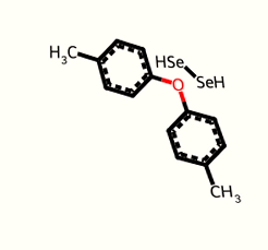 Cc1ccc(Oc2ccc(C)cc2)cc1.[SeH][SeH]